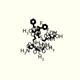 C[C@H](N)C(=O)N[C@H](C)C(=O)N[C@@H](CC(N)=O)C(=O)NCCCN(C(=O)CSCCC(=O)N[C@H](CC(=O)O)C(=O)O)[C@@H](c1cc(-c2cc(F)ccc2F)cn1Cc1ccccc1)C(C)(C)C